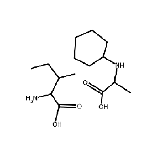 CC(NC1CCCCC1)C(=O)O.CCC(C)C(N)C(=O)O